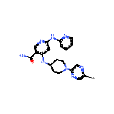 N#Cc1cnc(N2CCC(Nc3cc(Nc4ccccn4)ncc3C(N)=O)CC2)cn1